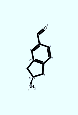 N[C@@H]1Cc2ccc(C=O)cc2C1